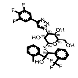 Cc1ccccc1[C@](C)(O)[C@H](S[C@@H]1O[C@H](CO)[C@H](O)[C@H](n2cc(-c3cc(F)c(F)c(F)c3)nn2)[C@H]1O)c1ccccc1C(F)(F)F